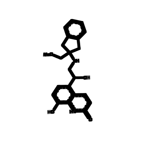 COCC1(NCC(O)c2ccc(O)c3[nH]c(=O)ccc23)Cc2ccccc2C1